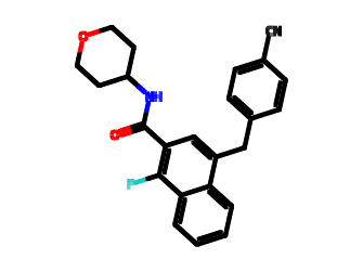 N#Cc1ccc(Cc2cc(C(=O)NC3CCOCC3)c(F)c3ccccc23)cc1